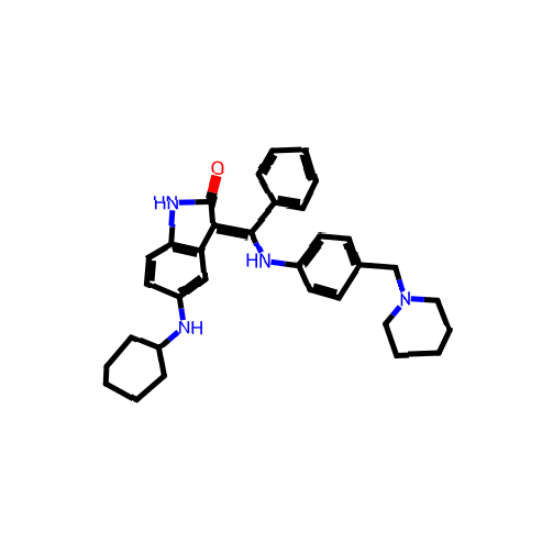 O=C1Nc2ccc(NC3CCCCC3)cc2C1=C(Nc1ccc(CN2CCCCC2)cc1)c1ccccc1